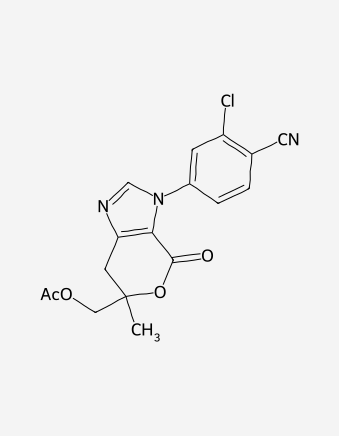 CC(=O)OCC1(C)Cc2ncn(-c3ccc(C#N)c(Cl)c3)c2C(=O)O1